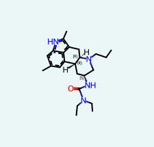 CCCN1C[C@@H](NC(=O)N(CC)CC)C[C@@H]2c3cc(C)cc4[nH]c(C)c(c34)C[C@H]21